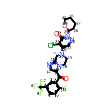 O=C(c1cc(C(F)(F)F)ccc1F)c1cnc2n1CCN(c1cnn(C3CCCCO3)c(=O)c1Cl)C2